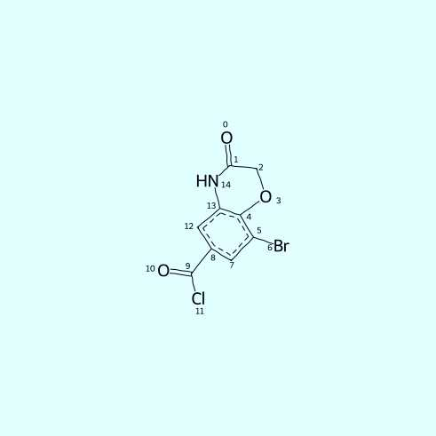 O=C1COc2c(Br)cc(C(=O)Cl)cc2N1